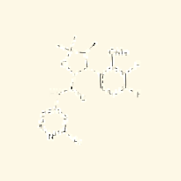 COc1c([C@@H]2[C@@H](C(=O)Nc3ccnc(C(C)=O)c3)OC(C)(C)[C@H]2C)ccc(F)c1F